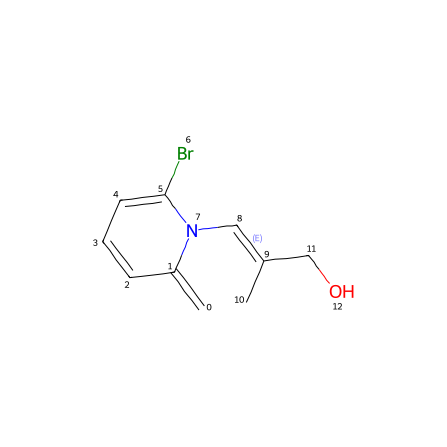 C=C1C=CC=C(Br)N1/C=C(\C)CO